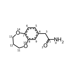 NC(=O)Cc1ccc2c(c1)OCCCO2